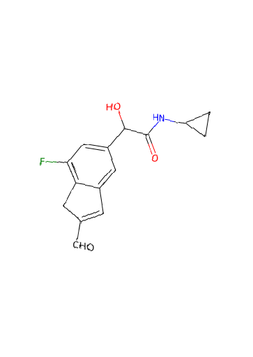 O=CC1=Cc2cc(C(O)C(=O)NC3CC3)cc(F)c2C1